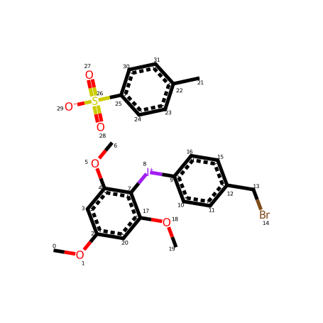 COc1cc(OC)c([I+]c2ccc(CBr)cc2)c(OC)c1.Cc1ccc(S(=O)(=O)[O-])cc1